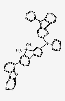 CC1(C)c2cc(-c3cccc4c3oc3ccccc34)ccc2-c2ccc(N(c3ccccc3)c3ccc4c(c3)c3ccccc3n4-c3ccccc3)cc21